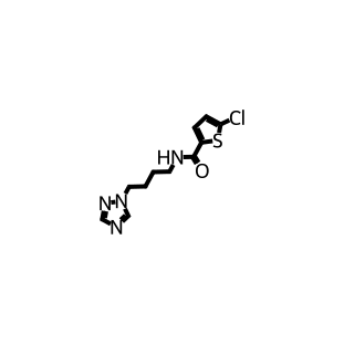 O=C(NCCCCn1cncn1)c1ccc(Cl)s1